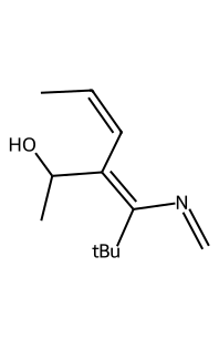 C=N/C(=C(\C=C/C)C(C)O)C(C)(C)C